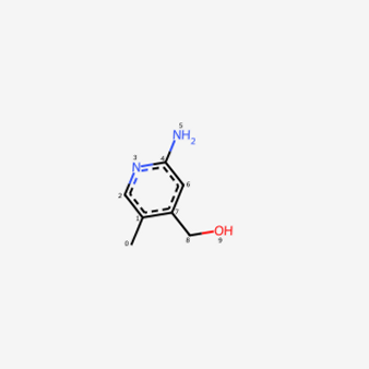 Cc1cnc(N)cc1CO